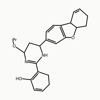 CC(C)OC1CC(c2ccc3c(c2)OC2CCC=CC32)NC(C2=C(O)C=CCC2)=N1